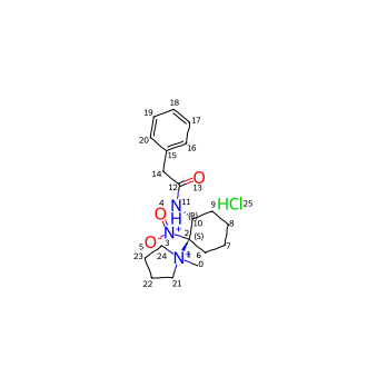 C[N+]1([C@]2([N+](=O)[O-])CCCC[C@H]2NC(=O)Cc2ccccc2)CCCC1.Cl